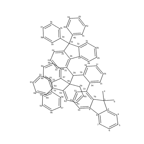 CC1(C)c2ccccc2-c2cccc(-c3ccccc3C(c3cccc4c3-c3ccccc3C4(c3ccccc3)c3ccccc3)C3(c4ccccc4-c4ccccc4)CC=CC=C3c3ccccc3)c21